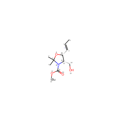 C/C=C/[C@H]1OC(C)(C)N(C(=O)OC(C)(C)C)[C@H]1CO